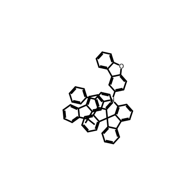 CC1(C)c2ccccc2-c2ccc(N(c3ccc4oc5ccccc5c4c3)c3cccc4c3C3(c5ccccc5-4)c4ccccc4-c4c(-c5ccccc5)cccc43)cc21